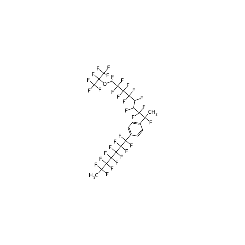 CC(F)(F)C(F)(F)C(F)(F)C(F)(F)C(F)(F)C(F)(F)c1ccc(C(C)(F)C(F)(F)C(F)C(F)C(F)(F)C(F)(F)C(F)(F)C(F)OC(F)(C(F)(F)F)C(F)(F)F)cc1